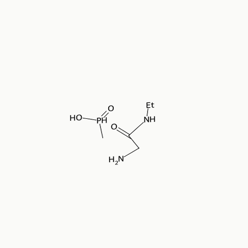 CCNC(=O)CN.C[PH](=O)O